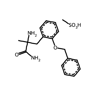 CC(N)(Cc1ccccc1OCc1ccccc1)C(N)=O.CS(=O)(=O)O